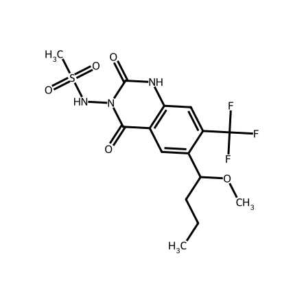 CCCC(OC)c1cc2c(=O)n(NS(C)(=O)=O)c(=O)[nH]c2cc1C(F)(F)F